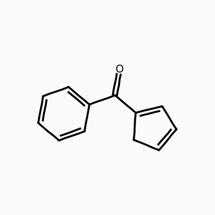 O=C(C1=CC=CC1)c1ccccc1